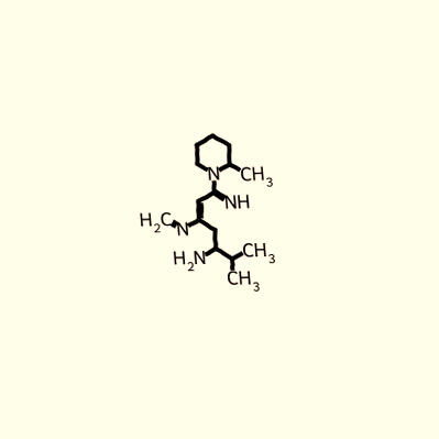 C=N/C(=C/C(=N)N1CCCCC1C)CC(N)C(C)C